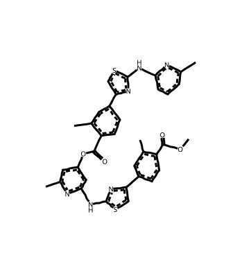 COC(=O)c1ccc(-c2csc(Nc3cc(OC(=O)c4ccc(-c5csc(Nc6cccc(C)n6)n5)cc4C)cc(C)n3)n2)cc1C